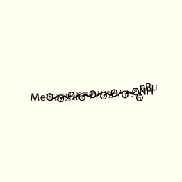 CCCCNC(=O)OCCOCCOCCOCCOCCOCCOCCOCCOC